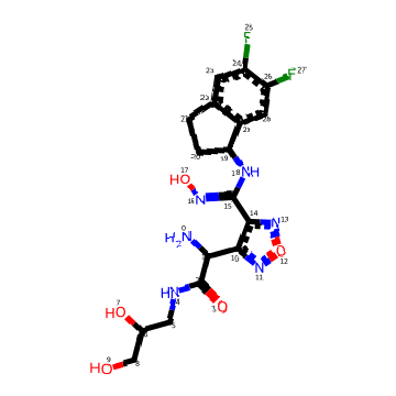 NC(C(=O)NCC(O)CO)c1nonc1C(=NO)NC1CCc2cc(F)c(F)cc21